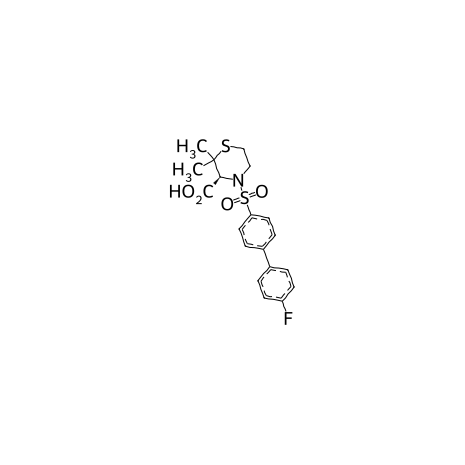 CC1(C)SCCN(S(=O)(=O)c2ccc(-c3ccc(F)cc3)cc2)[C@H]1C(=O)O